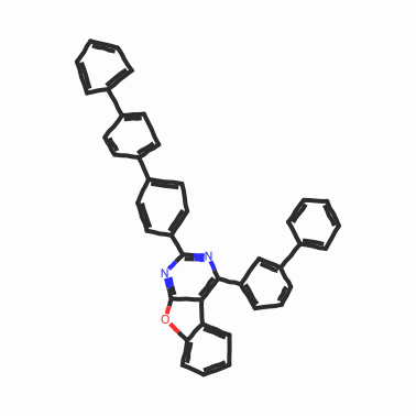 c1ccc(-c2ccc(-c3ccc(-c4nc(-c5cccc(-c6ccccc6)c5)c5c(n4)oc4ccccc45)cc3)cc2)cc1